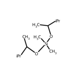 CC(C)C(C)O[Si](C)(C)OC(C)C(C)C